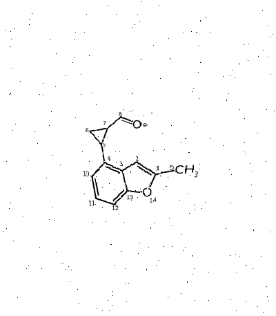 Cc1cc2c(C3CC3C=O)cccc2o1